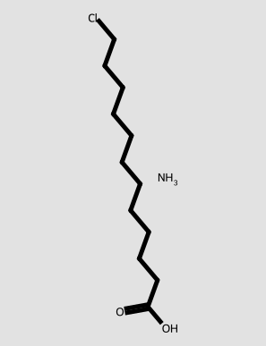 N.O=C(O)CCCCCCCCCCCCl